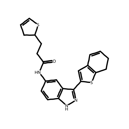 O=C(CCC1CC=CS1)Nc1ccc2[nH]nc(-c3cc4c(s3)CCC=C4)c2c1